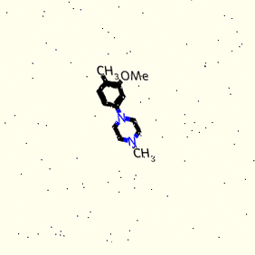 COc1cc(N2CCN(C)CC2)ccc1C